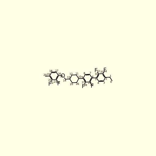 CCc1ccc(-c2ccc(C3CCC(COc4ccc(C)c(F)c4F)CC3)c(F)c2F)c(F)c1F